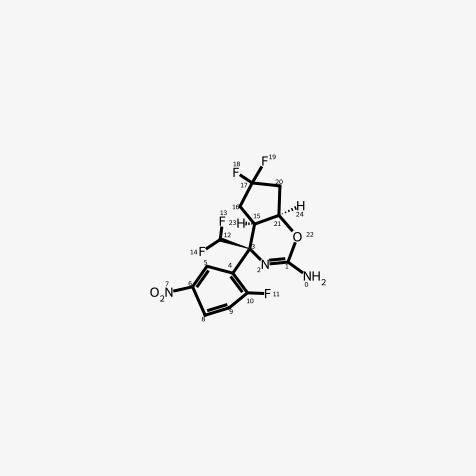 NC1=N[C@@](c2cc([N+](=O)[O-])ccc2F)(C(F)F)[C@H]2CC(F)(F)C[C@H]2O1